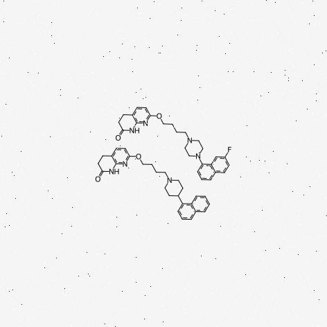 O=C1CCc2ccc(OCCCCN3CCC(c4cccc5ccccc45)CC3)nc2N1.O=C1CCc2ccc(OCCCCN3CCN(c4cccc5ccc(F)cc45)CC3)nc2N1